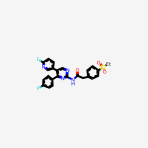 CCS(=O)(=O)c1ccc(CC(=O)Nc2ncc(-c3ccc(F)nc3)c(-c3ccc(F)cc3)n2)cc1